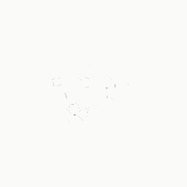 CNC(=O)[C@@]12CC1[C@@H](n1cnc3c(NC)nc(C#Cc4ccc(F)s4)nc31)[C@H](OC(=O)CN(C)C(=O)CN)[C@@H]2OC(=O)CN(C)C(=O)CN